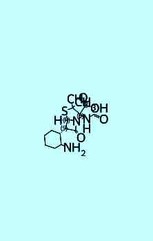 CC1(C)S[C@@H]2[C@@H](C3CCCCC3N)C(=O)N2[C@@]1(NC=O)C(=O)O